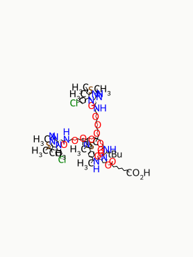 Cc1ncsc1-c1ccc([C@H](C)NC(=O)[C@@H]2C[C@@H](OC(=O)CCCCCCC(=O)O)CN2C(=O)C(NC(=O)COCC(C)(COCCOCCOCCNC(=O)C[C@@H]2N=C(c3ccc(Cl)cc3)c3c(sc(C)c3C)-n3c(C)nnc32)COCCOCCOCCNC(=O)C[C@@H]2N=C(c3ccc(Cl)cc3)c3c(sc(C)c3C)-n3c(C)nnc32)C(C)(C)C)cc1